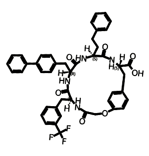 O=C1COc2ccc(cc2)C[C@@H](C(=O)O)NC(=O)[C@H](CCc2ccccc2)NC(=O)[C@@H](Cc2ccc(-c3ccccc3)cc2)NC(=O)[C@H](Cc2cccc(C(F)(F)F)c2)N1